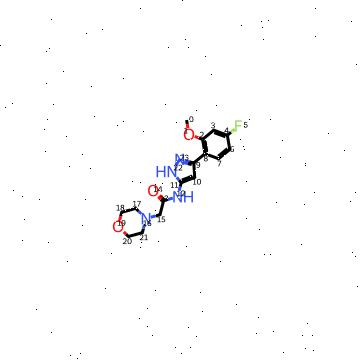 COc1cc(F)ccc1-c1cc(NC(=O)CN2CCOCC2)[nH]n1